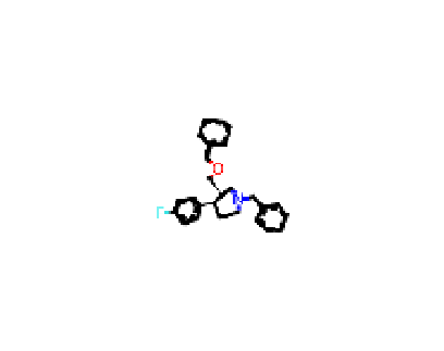 Fc1ccc([C@@H]2CCN(Cc3ccccc3)C[C@@H]2COCc2ccccc2)cc1